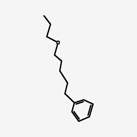 CCCOCCCCCc1ccccc1